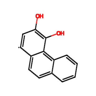 Oc1c[c]c2ccc3ccccc3c2c1O